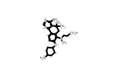 CN(CCC(=O)O)c1c(OC2CCC(N)CC2)ccc2c1CC(C)(C)c1c(N)ncnc1-2